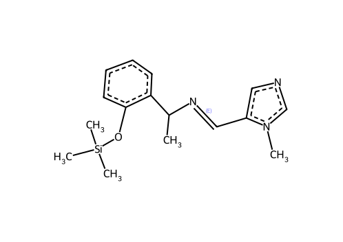 CC(/N=C/c1cncn1C)c1ccccc1O[Si](C)(C)C